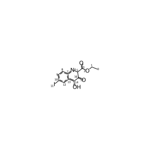 CCOC(=O)C1N=c2ccc(I)cc2=C(O)C1=O